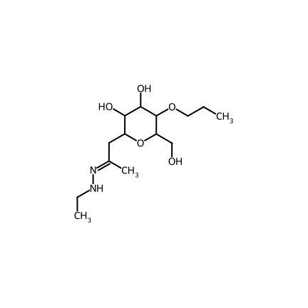 CCCOC1C(CO)OC(C/C(C)=N/NCC)C(O)C1O